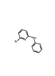 Brc1cccc(Nc2ccccn2)n1